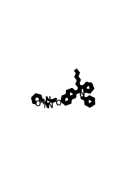 CCCCCc1c(-c2ccc3cc(OCc4nnn(C5CCCCO5)n4)ccc3c2)n(Cc2ccccc2)c2ccccc12